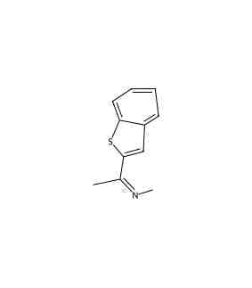 C/N=C(/C)c1cc2ccccc2s1